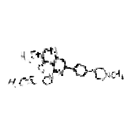 CSC[C@H]1CCN(c2nc(-c3ccc(N4CCN(C)CC4)cc3)cc3ncn(C)c(=O)c23)C1